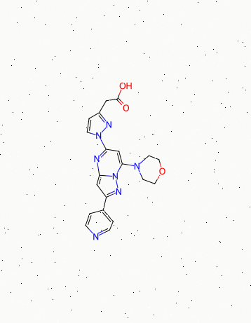 O=C(O)Cc1ccn(-c2cc(N3CCOCC3)n3nc(-c4ccncc4)cc3n2)n1